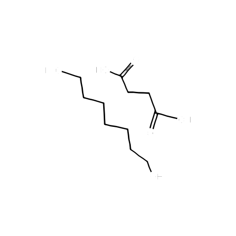 CCCCCCCCO.O=C(O)CCC(=O)O